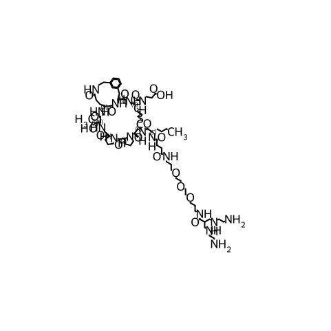 CCCC[C@H](NC(=O)CCC(=O)NCCCOCCOCCOCCCNC(=O)C(CNCCN)CNCCN)C(=O)N[C@H]1CSSC[C@@H](C(=O)NCCC(=O)O)NC(=O)[C@@H]2Cc3cccc(c3)CCNC(=O)CC[C@H](NC(=O)[C@H]([C@@H](C)O)NC(=O)[C@@H]3CCCN3C(=O)[C@@H]3CCCN3C1=O)C(=O)N2